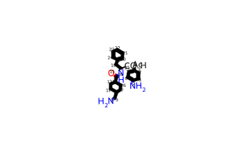 CC(=O)c1ccc(N)cc1.NCC1CCC(C(=O)N[C@@H](Cc2ccccc2)C(=O)O)CC1